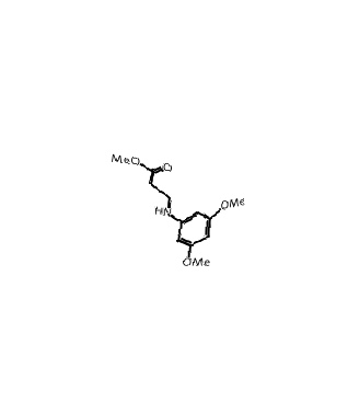 COC(=O)CCNc1cc(OC)cc(OC)c1